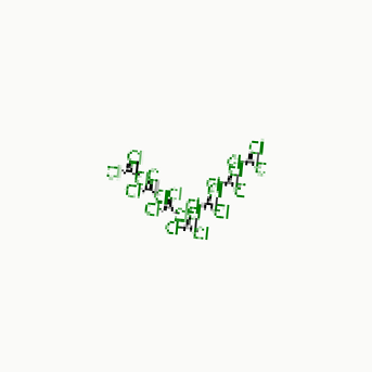 [Cl][Al]([Cl])[Cl].[Cl][Al]([Cl])[Cl].[Cl][Al]([Cl])[Cl].[Cl][Al]([Cl])[Cl].[Cl][Al]([Cl])[Cl].[Cl][Al]([Cl])[Cl].[Cl][Al]([Cl])[Cl]